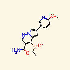 CC[S+]([O-])c1c(C(N)=O)cnn2cc(-c3ccc(OC)nc3)cc12